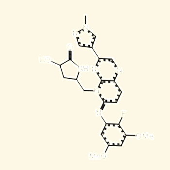 COc1cc(/N=c2\ccc3ncc(-c4cnn(C)c4)nc3n2CC2CC(O)C(=O)N2)c(F)c(OC)c1